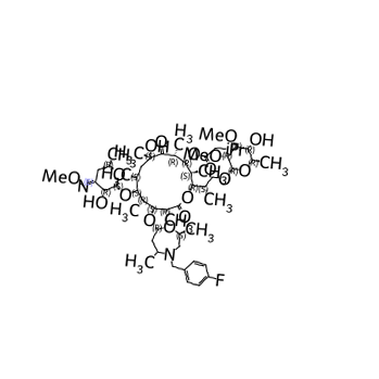 CO/N=C1\C[C@@H](C)O[C@@H](O[C@@H]2[C@@H](C)[C@H](O[C@H]3CC(C)N(Cc4ccc(F)cc4)C[C@H](C)O3)[C@@H](C)C(=O)O[C@H]([C@@H](C)CO[C@@H]3O[C@H](C)[C@@H](O)[C@@H](OC)[C@H]3OC)[C@H](C)[C@@H](OC(=O)CC(C)C)[C@@H](C)C(=O)[C@@](C)(O)C[C@@H]2C)[C@@H]1O